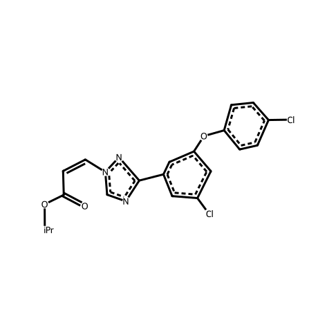 CC(C)OC(=O)/C=C\n1cnc(-c2cc(Cl)cc(Oc3ccc(Cl)cc3)c2)n1